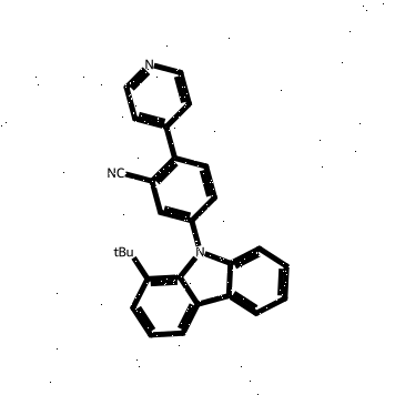 CC(C)(C)c1cccc2c3ccccc3n(-c3ccc(-c4ccncc4)c(C#N)c3)c12